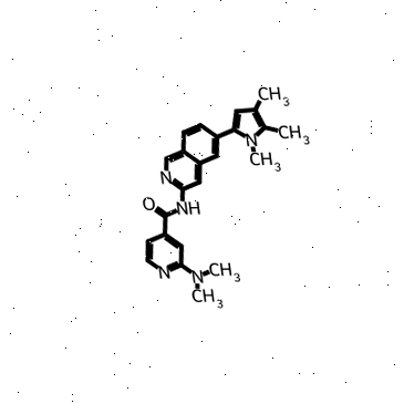 Cc1cc(-c2ccc3cnc(NC(=O)c4ccnc(N(C)C)c4)cc3c2)n(C)c1C